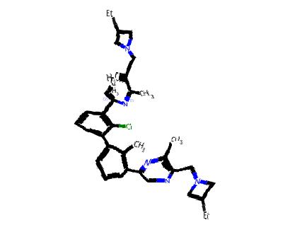 C=C(CN1CC(CC)C1)/C(C)=N\C(=C/C)c1cccc(-c2cccc(-c3cnc(CN4CC(CC)C4)c(C)n3)c2C)c1Cl